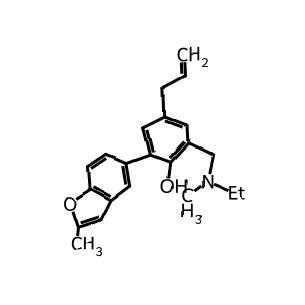 C=CCc1cc(CN(C)CC)c(O)c(-c2ccc3oc(C)cc3c2)c1